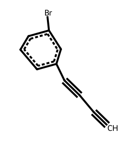 C#CC#Cc1cccc(Br)c1